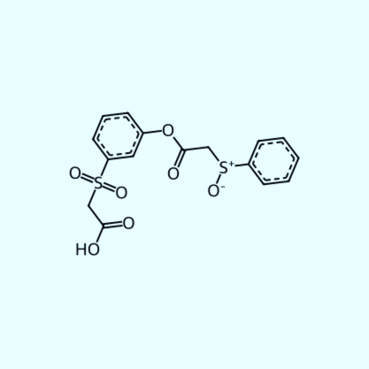 O=C(O)CS(=O)(=O)c1cccc(OC(=O)C[S+]([O-])c2ccccc2)c1